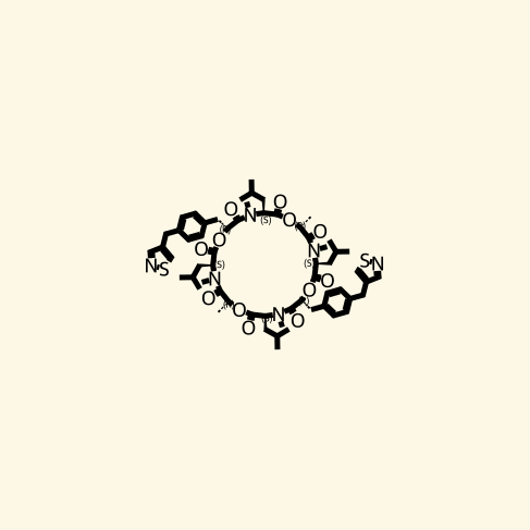 CC(C)C[C@H]1C(=O)O[C@H](Cc2ccc(Cc3cnsc3)cc2)C(=O)N(C)[C@@H](CC(C)C)C(=O)O[C@H](C)C(=O)N(C)[C@@H](CC(C)C)C(=O)O[C@H](Cc2ccc(Cc3cnsc3)cc2)C(=O)N(C)[C@@H](CC(C)C)C(=O)O[C@H](C)C(=O)N1C